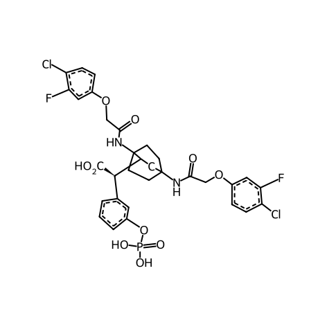 O=C(COc1ccc(Cl)c(F)c1)NC12CCC(NC(=O)COc3ccc(Cl)c(F)c3)(CC1)C([C@H](C(=O)O)c1cccc(OP(=O)(O)O)c1)C2